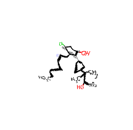 CCCCC(O)C(C)(C)c1ccc([C@@H]2[C@@H](C/C=C\CCCC(=O)O)[C@@H](Cl)C[C@H]2O)cc1